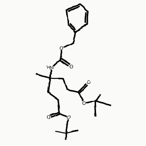 CC(CCC(=O)OC(C)(C)C)(CCC(=O)OC(C)(C)C)NC(=O)OCc1ccccc1